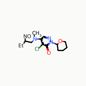 CCC(CN(C)c1cnn(C2CCCCO2)c(=O)c1Cl)N=O